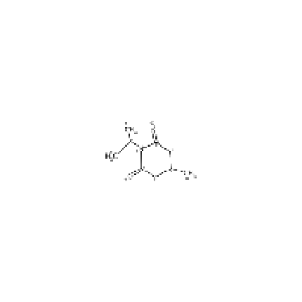 CC1CC(=O)N(C(C)C)C(=O)C1